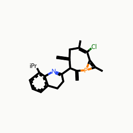 C=C1C/C(C)=C(/Cl)C2=C(C)P2C(=C)C1C1=Nc2c(cccc2C(C)C)CC1